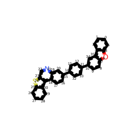 c1ccc2c(c1)oc1ccc(-c3ccc(-c4ccc5c(c4)ncc4sc6ccccc6c45)cc3)cc12